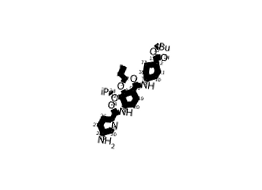 C=CCOc1c(C(=O)Nc2ccc(C(=O)OC(C)(C)C)cc2)ccc(NC(=O)c2ccc(N)cn2)c1OC(C)C